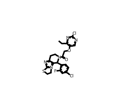 CCc1nc(Cl)ncc1OCC(=O)N1CCc2nc3n(c2C1c1ccc(Cl)cc1F)CCS3